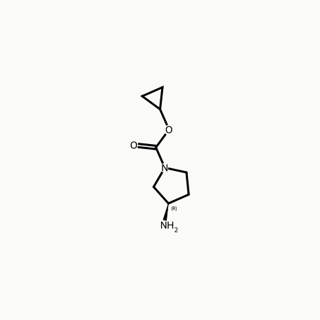 N[C@@H]1CCN(C(=O)OC2CC2)C1